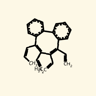 C=CC1=C(\C=C)c2ccccc2-c2ccccc2C(/C=C\C)=C\1C=C